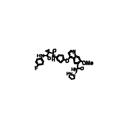 COc1cc2nccc(Oc3ccc(NC(=O)C4(C(=O)Nc5ccc(F)cc5)CC4)cc3)c2cc1C(=O)NC[C@@H]1CCCN1